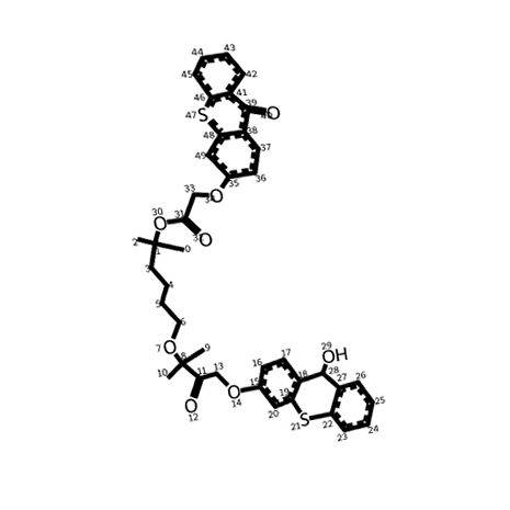 CC(C)(CCCCOC(C)(C)C(=O)COc1ccc2c(c1)Sc1ccccc1C2O)OC(=O)COc1ccc2c(=O)c3ccccc3sc2c1